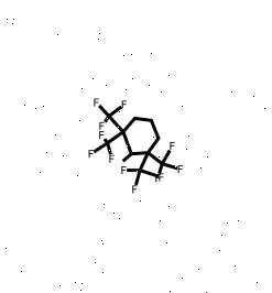 CC1C(C(F)(F)F)(C(F)(F)F)CCCC1(C(F)(F)F)C(F)(F)F